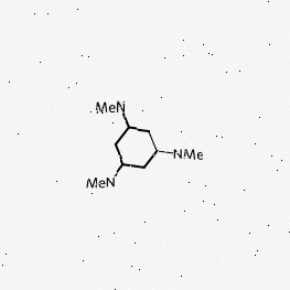 CNC1CC(NC)CC(NC)C1